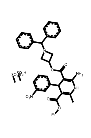 CC1=C(C(=O)OC(C)C)C(c2cccc([N+](=O)[O-])c2)C(C(=O)OC2CN(C(c3ccccc3)c3ccccc3)C2)=C(N)N1.CS(=O)(=O)O.CS(=O)(=O)O